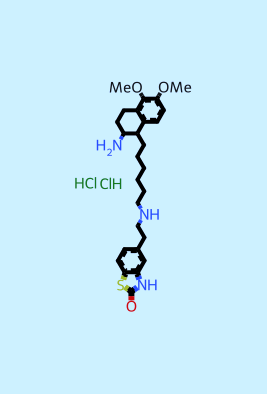 COc1ccc2c(c1OC)CCC(N)C2CCCCCCNCCc1ccc2sc(=O)[nH]c2c1.Cl.Cl